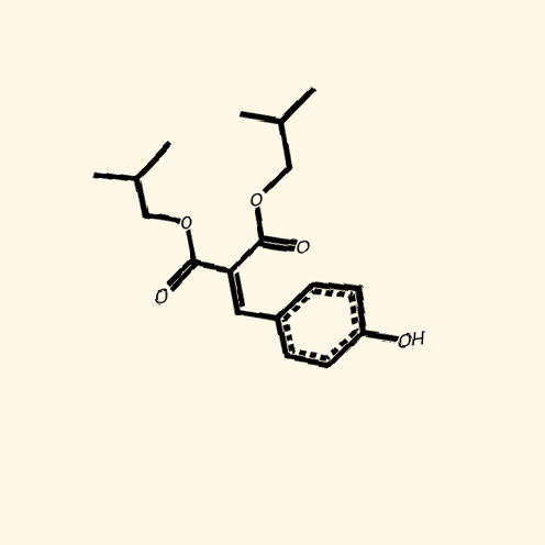 CC(C)COC(=O)C(=Cc1ccc(O)cc1)C(=O)OCC(C)C